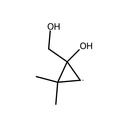 CC1(C)[CH]C1(O)CO